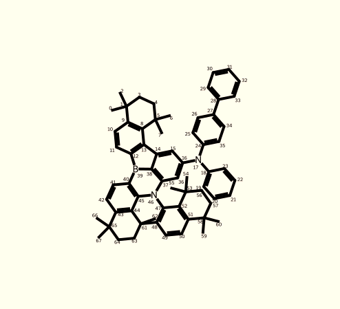 CC1(C)CCC(C)(C)c2c1ccc1c2-c2cc(N(c3ccccc3)c3ccc(-c4ccccc4)cc3)cc3c2B1c1ccc2c4c1N3c1c(ccc3c1C(C)(C)CCC3(C)C)C4(C)CCC2(C)C